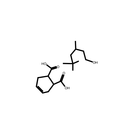 CC(CCO)CC(C)(C)C.O=C(O)C1CC=CCC1C(=O)O